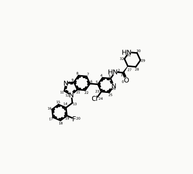 O=C(Nc1cc(-c2ccc3ncn(Cc4ccccc4F)c3c2)c(Cl)cn1)[C@@H]1CCCNC1